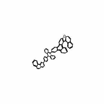 c1ccc2c(c1)ccc1ccc(-c3ccc(-c4c5ccccc5c(-c5ccc6c(c5)c5ccccc5c5c6ccc6oc7ccc8ccccc8c7c65)c5ccccc45)cc3)cc12